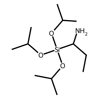 CCC(N)[Si](OC(C)C)(OC(C)C)OC(C)C